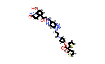 O=C(OC1CC2CC1CN2CCCn1nnc2cc(CNC[C@H](O)c3ccc(O)c4[nH]c(=O)ccc34)ccc21)C1(c2cccs2)OC2SC=CC=C21